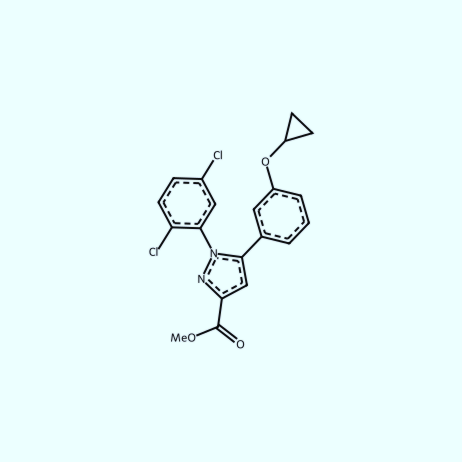 COC(=O)c1cc(-c2cccc(OC3CC3)c2)n(-c2cc(Cl)ccc2Cl)n1